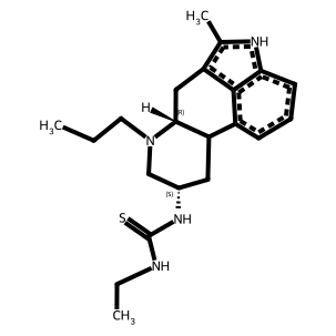 CCCN1C[C@@H](NC(=S)NCC)CC2c3cccc4[nH]c(C)c(c34)C[C@H]21